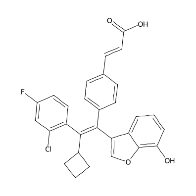 O=C(O)/C=C/c1ccc(/C(=C(\c2ccc(F)cc2Cl)C2CCC2)c2coc3c(O)cccc23)cc1